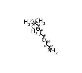 CC(C)(C)COCCCOCCCN